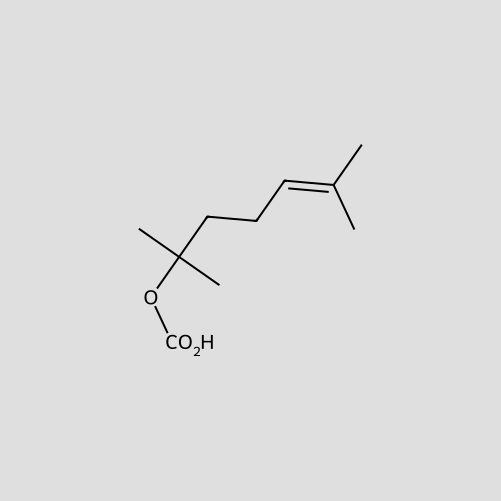 CC(C)=CCCC(C)(C)OC(=O)O